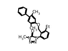 CCc1cccc(-n2nnn(C)c2=O)c1COc1cc(C)c(-c2ccccc2)cc1C